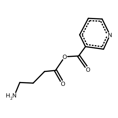 NCCCC(=O)OC(=O)c1cccnc1